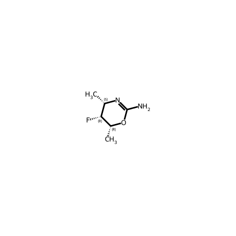 C[C@@H]1N=C(N)O[C@H](C)[C@@H]1F